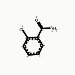 NC(=O)c1c[c]ccc1Cl